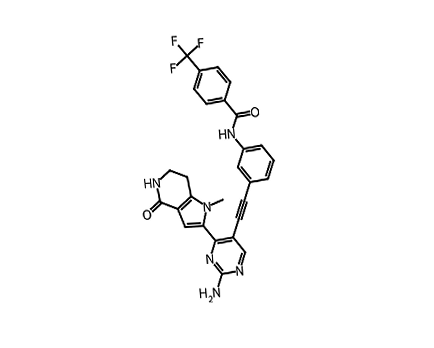 Cn1c(-c2nc(N)ncc2C#Cc2cccc(NC(=O)c3ccc(C(F)(F)F)cc3)c2)cc2c1CCNC2=O